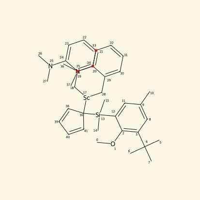 COc1c(C(C)(C)C)cc(C)cc1[Si](C)(C)[C]1([Sc]([CH2]c2ccccc2N(C)C)[CH2]c2ccccc2N(C)C)C=CC=C1